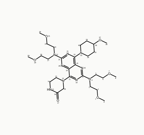 COCCN(CCOC)c1nc(N2CCNC(=O)C2)c2nc(N(CCOC)CCOC)nc(N3CCC(OC)CC3)c2n1